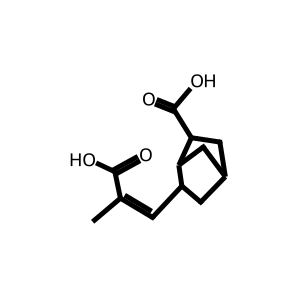 CC(=CC1CC2CC(C(=O)O)C1C2)C(=O)O